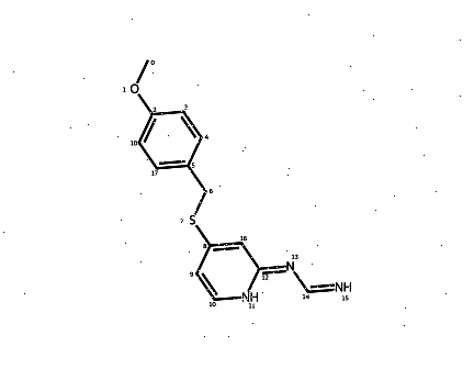 COc1ccc(CSc2cc[nH]/c(=N\C=N)c2)cc1